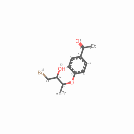 CCCC(Oc1ccc(C(=O)CC)cc1)C(O)CBr